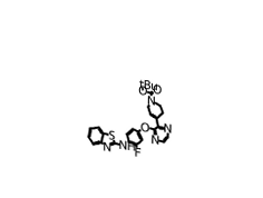 CC(C)(C)OC(=O)N1CC=C(c2nccnc2Oc2ccc(Nc3nc4ccccc4s3)c(F)c2)CC1